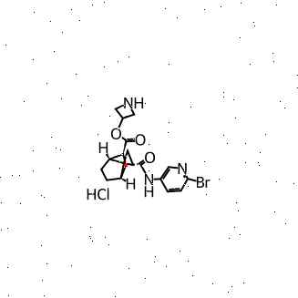 Cl.O=C(OC1CNC1)[C@H]1[C@H](C(=O)Nc2ccc(Br)nc2)[C@@H]2CC[C@H]1C21CC1